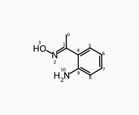 CC(=NO)c1ccccc1N